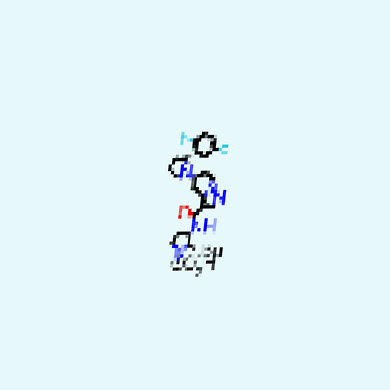 CC(C)(C)C1C(NC(=O)c2cnn3ccc(N4CCC[C@@H]4c4cc(F)ccc4F)cc23)CCN1C(=O)O